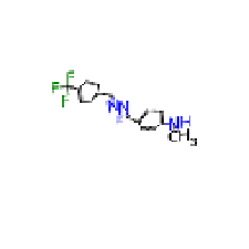 CNc1ccc(/C=N/N=C/c2ccc(C(F)(F)F)cc2)cc1